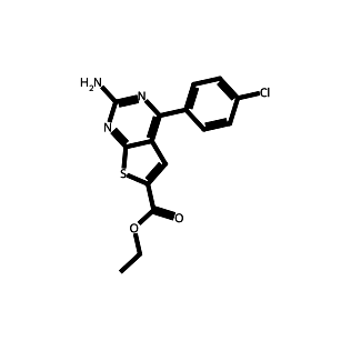 CCOC(=O)c1cc2c(-c3ccc(Cl)cc3)nc(N)nc2s1